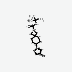 CC(C)(C)OC(=O)N1CC2(CCC(n3cc(Br)cn3)CC2)C1